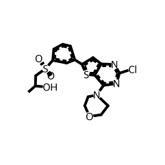 CC(O)CS(=O)(=O)c1cccc(-c2cc3nc(Cl)nc(N4CCOCC4)c3s2)c1